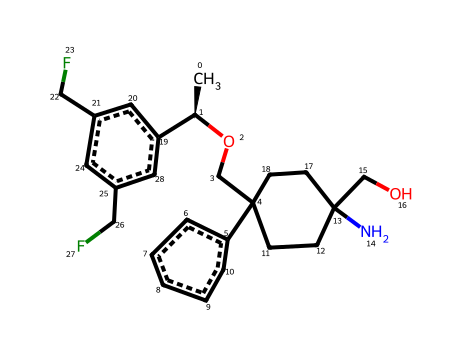 C[C@@H](OCC1(c2ccccc2)CCC(N)(CO)CC1)c1cc(CF)cc(CF)c1